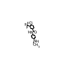 CCNc1ccc(NC(=O)c2ccc(Cl)c(C(F)(F)F)c2)cc1